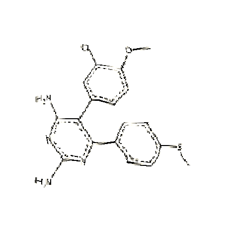 COc1ccc(-c2c(N)nc(N)nc2-c2ccc(SC)cc2)cc1Cl